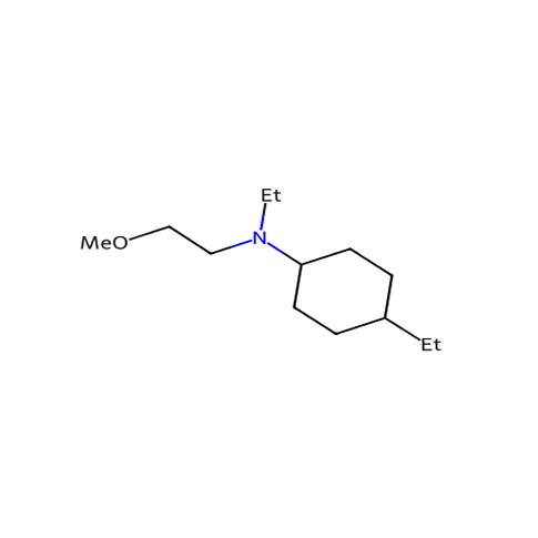 CCC1CCC(N(CC)CCOC)CC1